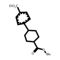 CCOC(=O)c1ccc(C2CCC(C(=O)OC(C)(C)C)CC2)cc1